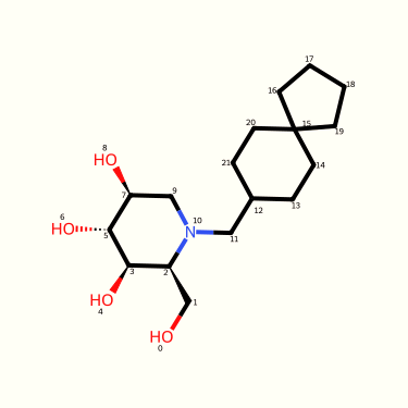 OC[C@H]1[C@@H](O)[C@H](O)[C@@H](O)CN1CC1CCC2(CCCC2)CC1